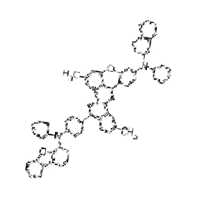 Cc1ccc2c(-c3ccc(N(c4ccccc4)c4cccc5c4oc4ccccc45)cc3)cc3c4cc(C)cc5c4c(cc3c2c1)-c1ccc(N(c2ccccc2)c2ccc3ccccc3c2)cc1O5